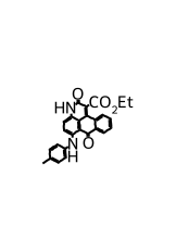 CCOC(=O)c1c2c3c(c(Nc4ccc(C)cc4)ccc3[nH]c1=O)C(=O)c1ccccc1-2